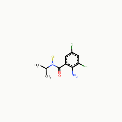 CC(C)N(S)C(=O)c1cc(Cl)cc(Cl)c1N